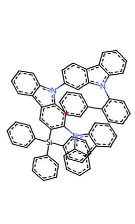 c1ccc(-c2ccccc2-n2c3ccccc3c3ccc(-n4c5ccccc5c5cc([Si](c6ccccc6)(c6ccccc6)c6ccccc6)c(-n6c7ccccc7c7ccccc76)cc54)cc32)cc1